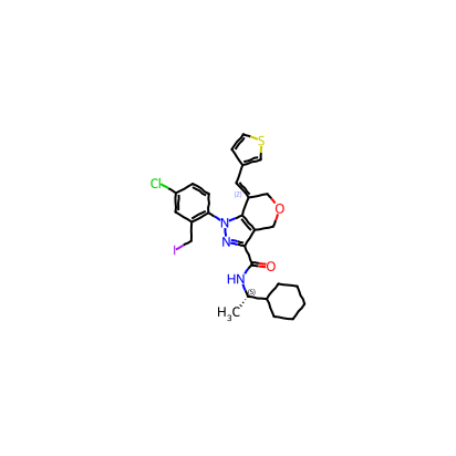 C[C@H](NC(=O)c1nn(-c2ccc(Cl)cc2CI)c2c1COC/C2=C\c1ccsc1)C1CCCCC1